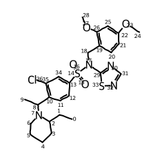 CCC1CCCCN1C(C)c1ccc(S(=O)(=O)N(Cc2ccc(OC)cc2OC)c2ncns2)cc1Cl